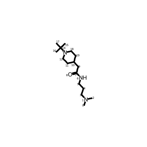 CN(C)CCCNC(=O)CC1CCN(C(C)(C)C)CC1